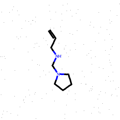 C=CCNCN1CCCC1